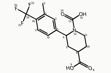 Cc1cc(C2CC(C(=O)O)CCN2C(=O)O)ccc1C(F)(F)F